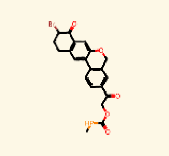 CPC(=O)OCC(=O)c1ccc2c(c1)COc1cc3c(cc1-2)CCC(Br)C3=O